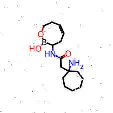 NC1(CC(=O)NC2C/C=C\CCOB2O)CCCCCC1